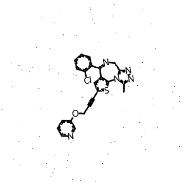 Cc1nnc2n1-c1sc(C#CCOc3cccnc3)cc1C(c1ccccc1Cl)=NC2